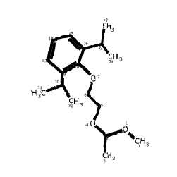 COC(C)OCCOc1c(C(C)C)cccc1C(C)C